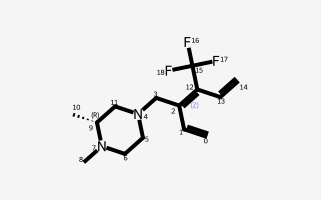 C=C/C(CN1CCN(C)[C@H](C)C1)=C(\C=C)C(F)(F)F